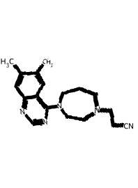 Cc1cc2ncnc(N3CCCN(CCC#N)CC3)c2cc1C